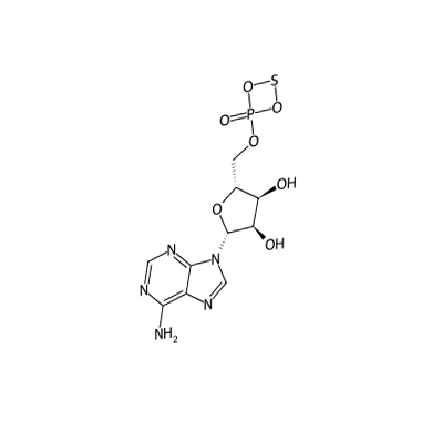 Nc1ncnc2c1ncn2[C@@H]1O[C@H](COP2(=O)OSO2)[C@@H](O)[C@H]1O